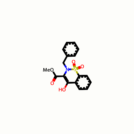 COC(=O)C1=C(O)c2ccccc2S(=O)(=O)N1Cc1ccccc1